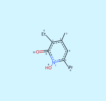 CCc1c(C)cc(C(C)C)n(O)c1=O